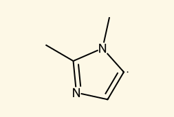 Cc1nc[c]n1C